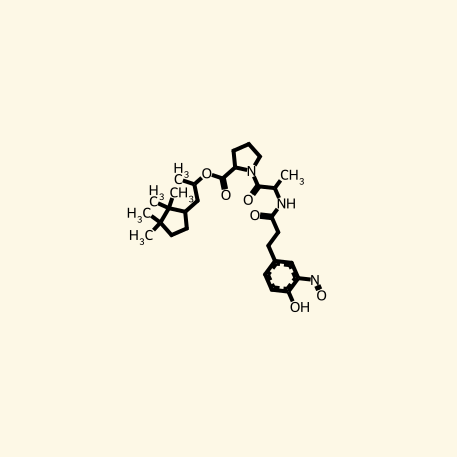 CC(CC1CCC(C)(C)C1(C)C)OC(=O)C1CCCN1C(=O)C(C)NC(=O)CCc1ccc(O)c(N=O)c1